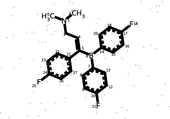 CN(C)CC=C(B(c1ccc(F)cc1)c1ccc(F)cc1)c1ccc(F)cc1